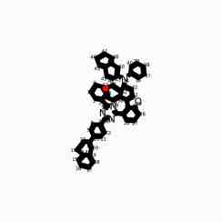 c1ccc(-c2nc(-c3ccc(-c4ccc5ccccc5c4)cc3)nc(-c3cccc4oc5cc(N(c6ccccc6)c6ccc7ccccc7c6)c6ccccc6c5c34)n2)cc1